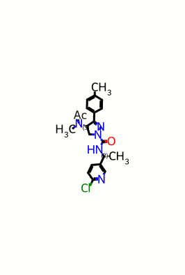 CC(=O)N(C)[C@H]1CN(C(=O)N[C@H](C)c2ccc(Cl)nc2)N=C1c1ccc(C)cc1